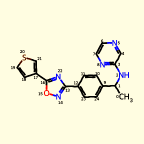 CC(Nc1cnccn1)c1ccc(-c2noc(-c3ccsc3)n2)cc1